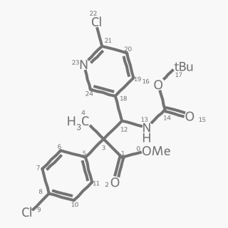 COC(=O)C(C)(c1ccc(Cl)cc1)C(NC(=O)OC(C)(C)C)c1ccc(Cl)nc1